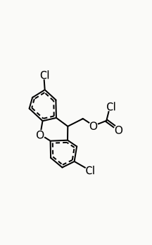 O=C(Cl)OCC1c2cc(Cl)ccc2Oc2ccc(Cl)cc21